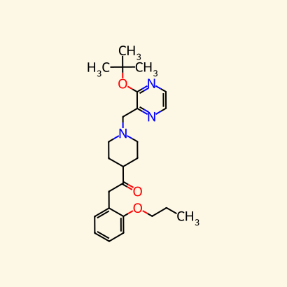 CCCOc1ccccc1CC(=O)C1CCN(Cc2nccnc2OC(C)(C)C)CC1